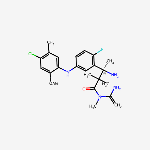 C=C(N)N(C)C(=O)C(C)(C)[C@](C)(N)c1cc(Nc2cc(C)c(Cl)cc2OC)ccc1F